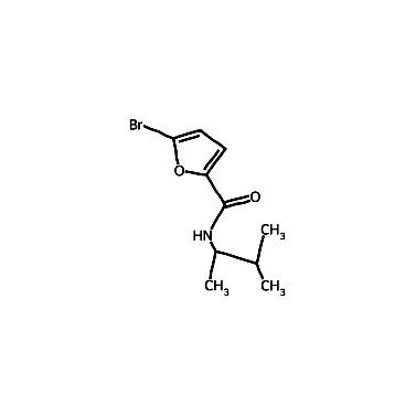 CC(C)C(C)NC(=O)c1ccc(Br)o1